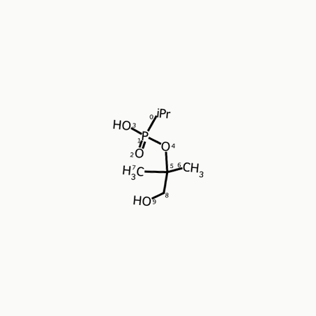 CC(C)P(=O)(O)OC(C)(C)CO